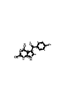 O=C(c1ccc(F)cc1)c1c[nH]c2nc(Cl)nc(Cl)c12